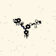 CC(C)(C)OC(=O)NCCOc1ccc(/C(=C\C=C\C(=O)Nc2cccc3cnccc23)c2ccc(C(F)(F)F)cc2)cc1